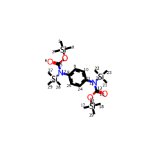 C[Si](C)(C)OC(=O)N(c1ccc(N(C(=O)O[Si](C)(C)C)[Si](C)(C)C)cc1)[Si](C)(C)C